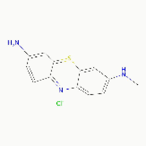 CNc1ccc2nc3ccc(N)cc3[s+]c2c1.[Cl-]